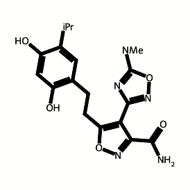 CNc1nc(-c2c(C(N)=O)noc2CCc2cc(C(C)C)c(O)cc2O)no1